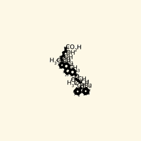 C[C@@H](O[Si](c1ccccc1)(c1ccccc1)C(C)(C)C)C(C)(C)C(=O)OC1CC[C@@]2(C)C(CCC3C2CC[C@@]2(C)C3CC[C@@H]2C(C)(C)C[C@@H](O)CC(O)CC(=O)O)C1